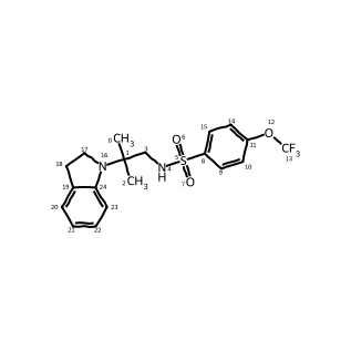 CC(C)(CNS(=O)(=O)c1ccc(OC(F)(F)F)cc1)N1CCc2ccccc21